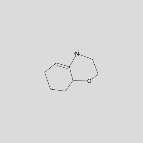 C1=C2[N]CCOC2CCC1